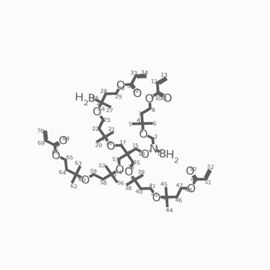 BN(COC(C)(C)CCOC(=O)C=C)OCC(COC(C)(C)CCOC(B)(C)CCOC(=O)C=C)(COC(C)(C)CCOC(C)(C)CCOC(=O)C=C)COC(C)(C)CCOC(C)(C)CCOC(=O)C=C